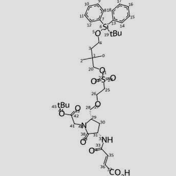 CC(C)(CCO[Si](c1ccccc1)(c1ccccc1)C(C)(C)C)COS(=O)(=O)CCOC[C@@H]1C[C@H](NC(=O)C=CC(=O)O)C(=O)N1CC(=O)OC(C)(C)C